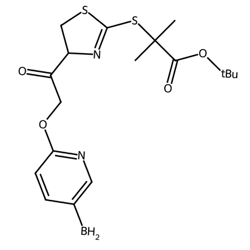 Bc1ccc(OCC(=O)C2CSC(SC(C)(C)C(=O)OC(C)(C)C)=N2)nc1